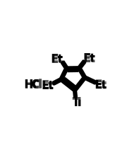 CCC1=[C]([Ti])C(CC)C(CC)=C1CC.Cl